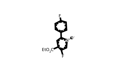 CCOC(=O)c1cc(-c2ccc(F)cc2)[n+]([O-])cc1F